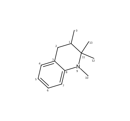 CC1Cc2ccccc2N(C)C1(C)C